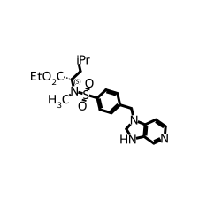 CCOC(=O)[C@H](CC(C)C)N(C)S(=O)(=O)c1ccc(CN2CNc3cnccc32)cc1